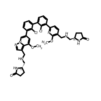 COc1nc(-c2cccc(-c3cccc(-c4cc(OC)c5c(CNC[C@@H]6CCC(=O)N6)cnn5c4)c3Cl)c2Cl)ccc1CNC[C@H]1CCC(=O)N1